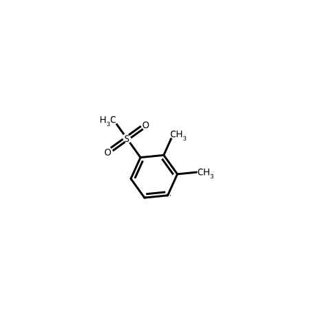 Cc1[c]ccc(S(C)(=O)=O)c1C